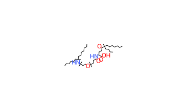 CCCCCCCC(C)(CCCCCC)NC(C)(C)CCOC(C)(C)CCC(=O)NC(CCC(=O)C(C)(CCCC)CCCCCCC)C(=O)O